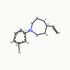 C=CC1CCCN(c2cccc(C)c2)CC1